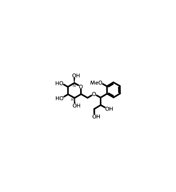 COc1ccccc1C(OCC1O[C@H](O)C(O)C(O)[C@@H]1O)C(O)CO